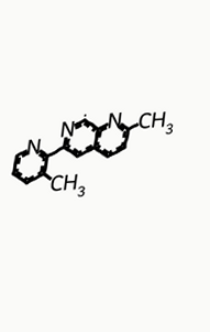 Cc1ccc2cc(-c3ncccc3C)n[c]c2n1